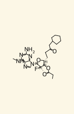 CCC(=O)O[C@@H]1[C@@H](CCC(=O)CC2CCCCC2)O[C@@H](n2cnc3c(NC)nc(N)nc32)[C@]1(C)F